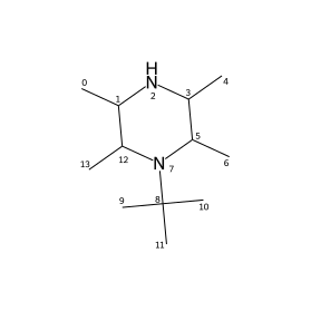 CC1NC(C)C(C)N(C(C)(C)C)C1C